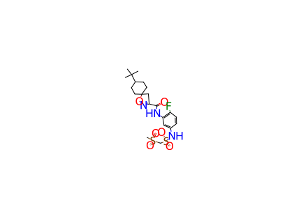 CC(C)(C)C1CCC2(CC1)CC(C(=O)Nc1cc(NS(=O)(=O)CS(C)(=O)=O)ccc1F)=NO2